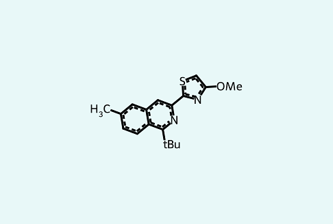 COc1csc(-c2cc3cc(C)ccc3c(C(C)(C)C)n2)n1